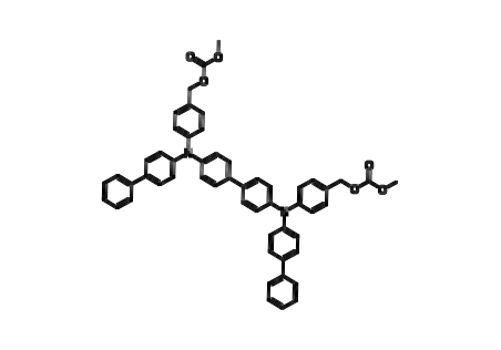 COC(=O)OCc1ccc(N(c2ccc(-c3ccccc3)cc2)c2ccc(-c3ccc(N(c4ccc(COC(=O)OC)cc4)c4ccc(-c5ccccc5)cc4)cc3)cc2)cc1